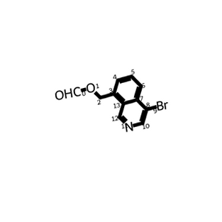 O=COCc1cccc2c(Br)cncc12